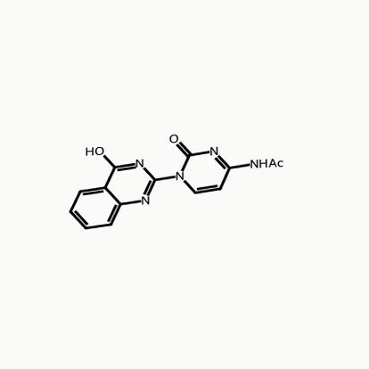 CC(=O)Nc1ccn(-c2nc(O)c3ccccc3n2)c(=O)n1